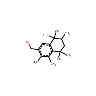 Cc1c(CO)cc2c(c1C)C(C)(C)CC(C)C2(C)C